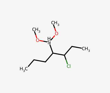 CCCC(C(Cl)CC)[SiH](OC)OC